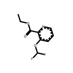 CCOC(=O)c1ncccc1OC(F)F